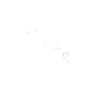 O=C(CCCC(CO[N+](=O)[O-])O[N+](=O)[O-])O[C@@H]1CO[C@H]2[C@@H]1OC[C@H]2OC(=O)Oc1ccc([N+](=O)[O-])cc1